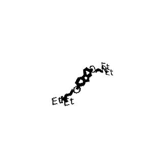 CCN(CC)CCCOc1ccc2c(c1)Cc1cc(OCCCN(CC)CC)ccc1-2